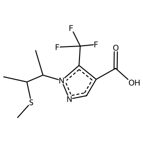 CSC(C)C(C)n1ncc(C(=O)O)c1C(F)(F)F